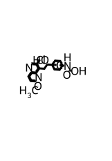 COc1ccc2ncc(Cl)c(CC(O)C34CCC(NC(=O)O)(CC3)CC4)c2n1